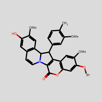 COc1cc(C2c3c(c(=O)oc4cc(OC(C)C)c(OC)cc34)N3C=Cc4cc(O)c(OC)cc4C23)ccc1C